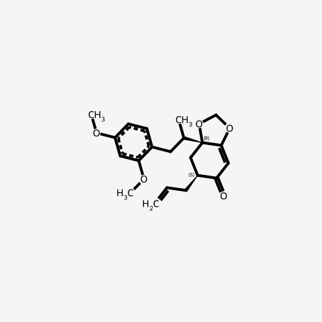 C=CC[C@H]1C[C@]2(C(C)Cc3ccc(OC)cc3OC)OCOC2=CC1=O